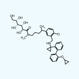 CC(CCCN(C)C(=O)[C@@H](O)[C@@H](O)[C@H](O)[C@@H](O)CO)c1ccc(Cl)c(CNC2(c3cnccc3-c3ccccc3OC3CC3)CC2)c1